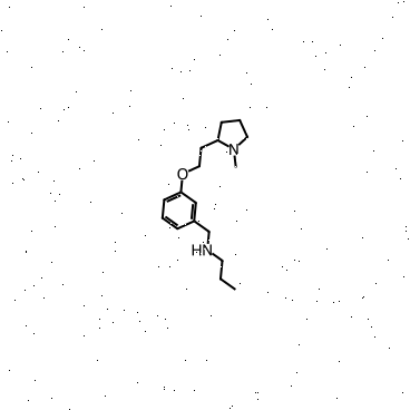 CCCNCc1cccc(OCCC2CCCN2C)c1